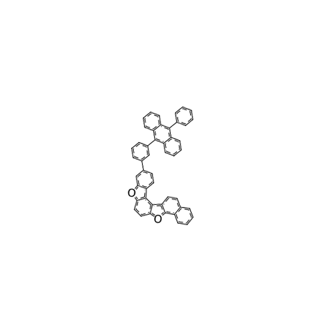 c1ccc(-c2c3ccccc3c(-c3cccc(-c4ccc5c(c4)oc4ccc6oc7c8ccccc8ccc7c6c45)c3)c3ccccc23)cc1